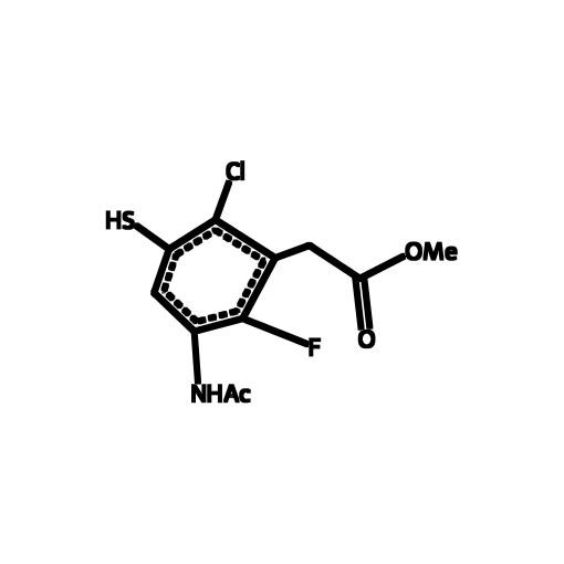 COC(=O)Cc1c(F)c(NC(C)=O)cc(S)c1Cl